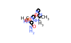 Cc1cc(Oc2ccnc(Nc3cc(NS(C)(=O)=O)cc(C(N)=O)c3)c2)c(-c2ccccn2)nc1C